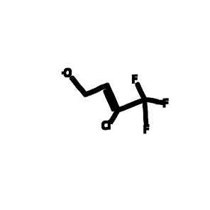 [O]CC=C(Cl)C(F)(F)F